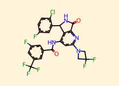 O=C(Nc1cc(N2CC(F)(F)C2)nc2c1C(c1cc(F)ccc1Cl)NC2=O)c1cc(F)cc(C(F)(F)F)c1